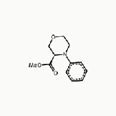 COC(=O)[C@H]1COCCN1c1ccccc1